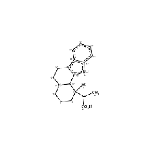 CCC1(C(C)C(=O)O)CCCN2CCc3c([nH]c4ccccc34)C21